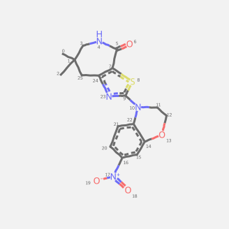 CC1(C)CNC(=O)c2sc(N3CCOc4cc([N+](=O)[O-])ccc43)nc2C1